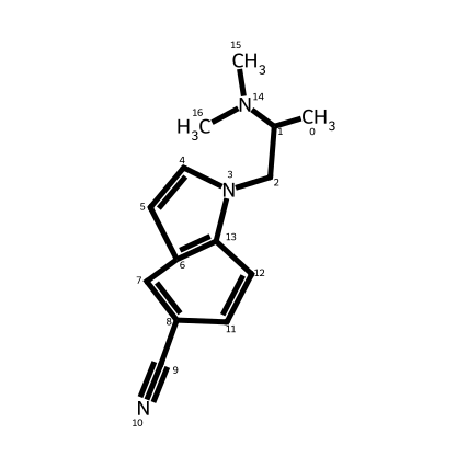 CC(Cn1ccc2cc(C#N)ccc21)N(C)C